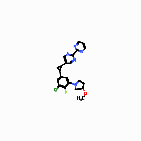 CO[C@H]1CCN(c2cc([C@H]3C[C@H]3c3cnc(-c4ncccn4)nc3)cc(Cl)c2F)C1